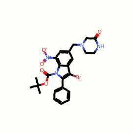 CC(C)(C)OC(=O)n1c(-c2ccccc2)c(Br)c2cc(CN3CCNC(=O)C3)cc([N+](=O)[O-])c21